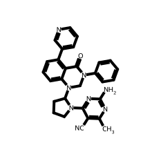 Cc1nc(N)nc(N2CCCC2N2CN(c3ccccc3)C(=O)c3c(-c4cccnc4)cccc32)c1C#N